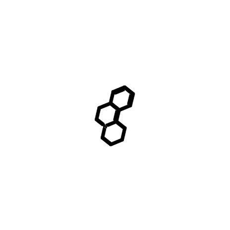 C1=CC2=C3CCCCN3CCC2C=C1